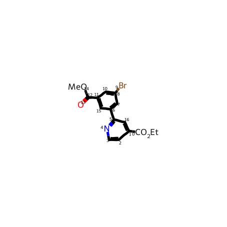 CCOC(=O)c1ccnc(-c2cc(Br)cc(C(=O)OC)c2)c1